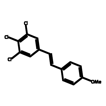 COc1ccc(/C=C/c2cc(Cl)c(Cl)c(Cl)c2)cc1